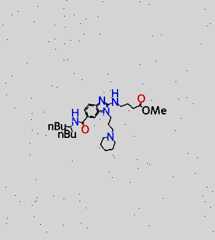 CCCCC(CCCC)NC(=O)c1ccc2nc(NCCCC(=O)OC)n(CCCN3CCCCC3)c2c1